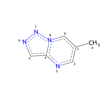 Cc1cnc2cnnn2c1